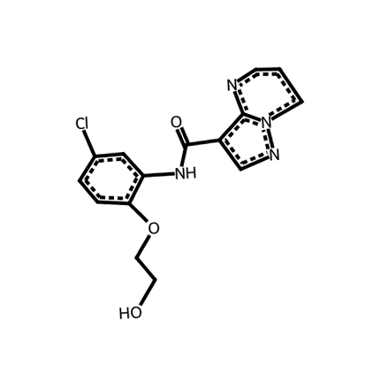 O=C(Nc1cc(Cl)ccc1OCCO)c1cnn2cccnc12